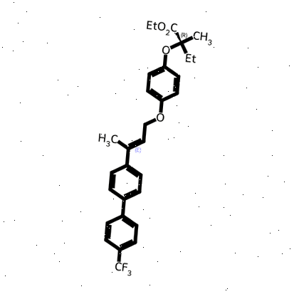 CCOC(=O)[C@@](C)(CC)Oc1ccc(OC/C=C(\C)c2ccc(-c3ccc(C(F)(F)F)cc3)cc2)cc1